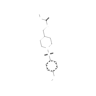 CC(C)(C)OC(=O)NCC1CCN(S(=O)(=O)c2ccc(OC(F)(F)F)cc2)CC1